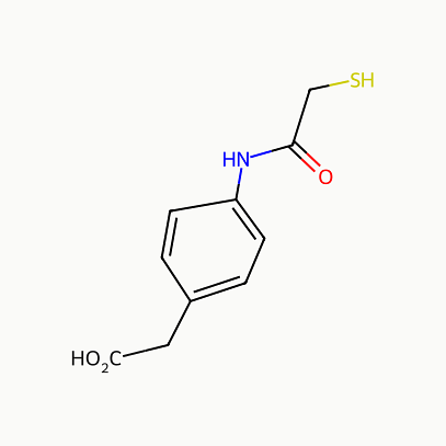 O=C(O)Cc1ccc(NC(=O)CS)cc1